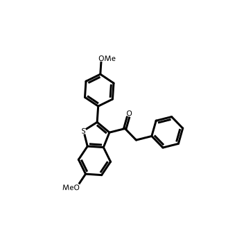 COc1ccc(-c2sc3cc(OC)ccc3c2C(=O)Cc2ccccc2)cc1